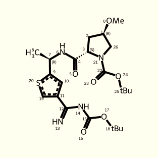 CO[C@@H]1C[C@@H](C(=O)N[C@H](C)c2cc(C(=N)NC(=O)OC(C)(C)C)cs2)N(C(=O)OC(C)(C)C)C1